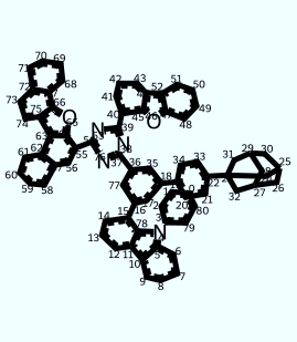 c1ccc(-n2c3ccccc3c3cccc(-c4cc(-c5ccc(C67CC8CC(CC(C8)C6)C7)cc5)cc(-c5nc(-c6cccc7c6oc6ccccc67)nc(-c6cc7ccccc7c7c6oc6c8ccccc8ccc67)n5)c4)c32)cc1